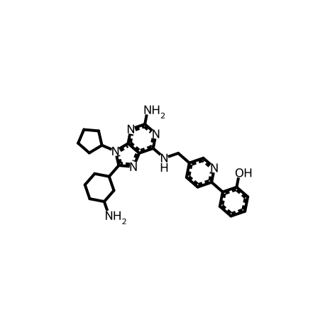 Nc1nc(NCc2ccc(-c3ccccc3O)nc2)c2nc(C3CCCC(N)C3)n(C3CCCC3)c2n1